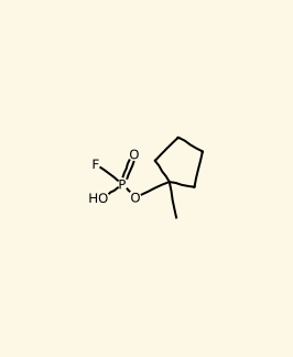 CC1(OP(=O)(O)F)CCCC1